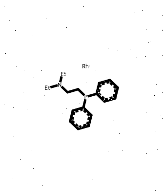 CCN(CC)CCP(c1ccccc1)c1ccccc1.[Rh]